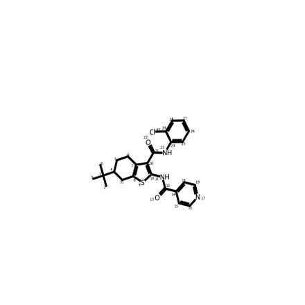 CC(C)(C)C1CCc2c(sc(NC(=O)c3ccncc3)c2C(=O)Nc2ccccc2Cl)C1